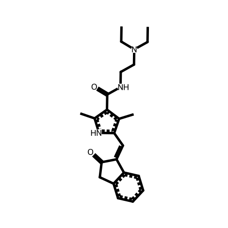 CCN(CC)CCNC(=O)c1c(C)[nH]c(/C=C2\C(=O)Cc3ccccc32)c1C